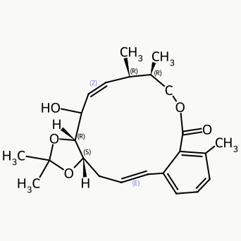 Cc1cccc2c1C(=O)OC[C@H](C)[C@H](C)/C=C\C(O)[C@H]1OC(C)(C)O[C@H]1C/C=C/2